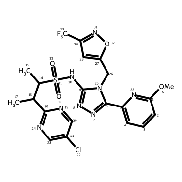 COc1cccc(-c2nnc(NS(=O)(=O)C(C)C(C)c3ncc(Cl)cn3)n2Cc2cc(C(F)(F)F)no2)n1